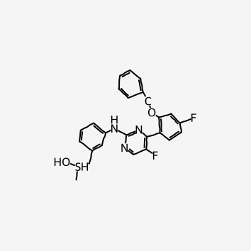 C[SH](O)Cc1cccc(Nc2ncc(F)c(-c3ccc(F)cc3OCc3ccccc3)n2)c1